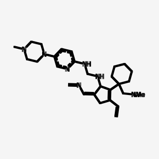 C=CC1=C(C2(CNC)CCCCC2)C(NCNc2ccc(N3CCN(C)CC3)cn2)/C(=C\N=C)C1